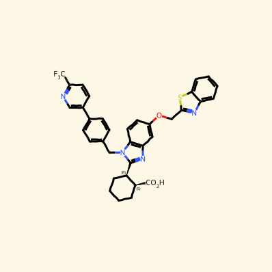 O=C(O)[C@H]1CCCC[C@H]1c1nc2cc(OCc3nc4ccccc4s3)ccc2n1Cc1ccc(-c2ccc(C(F)(F)F)nc2)cc1